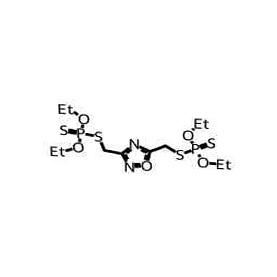 CCOP(=S)(OCC)SCc1noc(CSP(=S)(OCC)OCC)n1